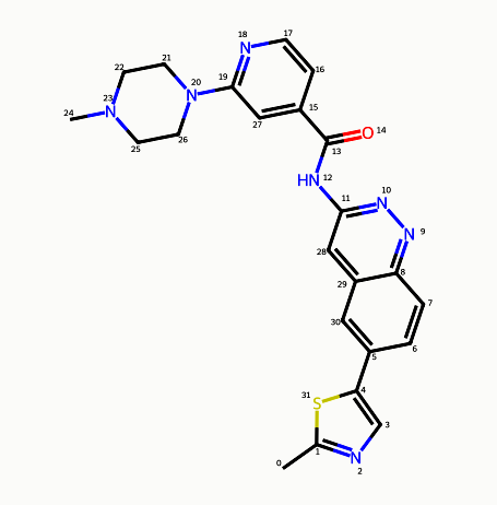 Cc1ncc(-c2ccc3nnc(NC(=O)c4ccnc(N5CCN(C)CC5)c4)cc3c2)s1